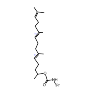 CC(C)=CCC/C(C)=C/CC/C(C)=C/CCC(C)OC(=O)NC(C)C